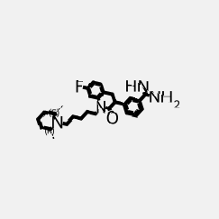 C[C@@H]1CCC[C@H](C)N1CCCCCN1C(=O)C(c2cccc(C(=N)N)c2)Cc2ccc(F)cc21